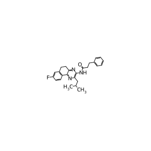 CC(C)Cc1nc2c(nc1NC(=O)CCc1ccccc1)CCc1cc(F)ccc1-2